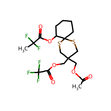 CC(=O)OCC1(COC(=O)C(F)(F)F)CSC2(CCCCC2OC(=O)C(C)(F)F)SC1